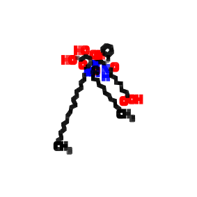 CCCCCCCCCCCCCCCCCCN(C(=O)CCCCCCCCCCC)[C@@H]1O[C@H](CO)[C@@H](O)[C@H](O)[C@@H]1NC(=O)[C@H](Cc1ccccc1)NC(=O)CCCCCCC(=O)O